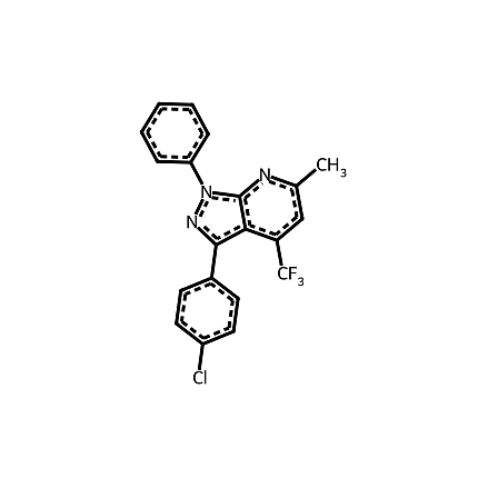 Cc1cc(C(F)(F)F)c2c(-c3ccc(Cl)cc3)nn(-c3ccccc3)c2n1